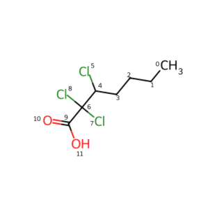 CCCCC(Cl)C(Cl)(Cl)C(=O)O